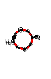 CC1(C)c2ccc(cc2)Oc2ccc(cc2)S(=O)(=O)c2ccc(cc2)Oc2ccc(cc2)C(C)(CCOC=O)c2ccc(cc2)Oc2ccc(cc2)S(=O)(=O)c2ccc(cc2)Oc2ccc1cc2